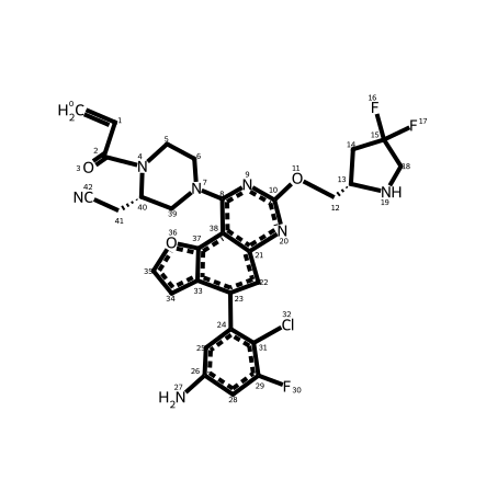 C=CC(=O)N1CCN(c2nc(OC[C@@H]3CC(F)(F)CN3)nc3cc(-c4cc(N)cc(F)c4Cl)c4ccoc4c23)C[C@@H]1CC#N